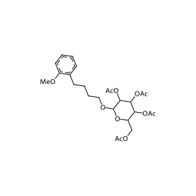 COc1ccccc1CCCCOC1OC(COC(C)=O)C(OC(C)=O)C(OC(C)=O)C1OC(C)=O